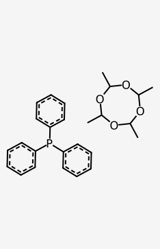 CC1OC(C)OC(C)OC(C)O1.c1ccc(P(c2ccccc2)c2ccccc2)cc1